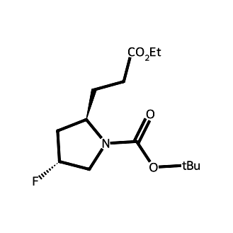 CCOC(=O)CC[C@@H]1C[C@@H](F)CN1C(=O)OC(C)(C)C